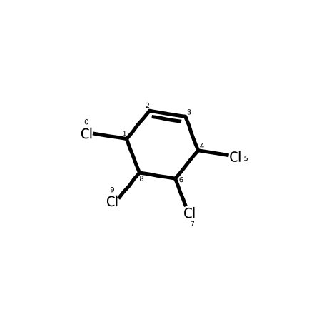 ClC1C=CC(Cl)C(Cl)C1Cl